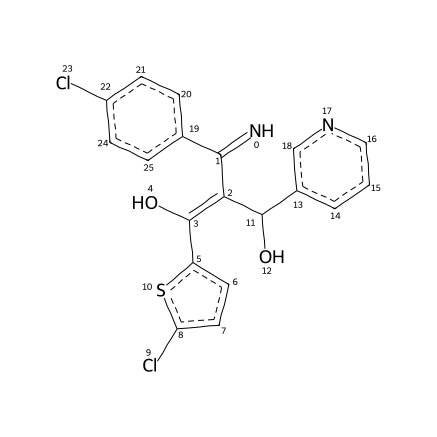 N=C(/C(=C(\O)c1ccc(Cl)s1)C(O)c1cccnc1)c1ccc(Cl)cc1